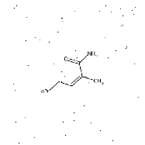 CCCCC=C(C)C(N)=O